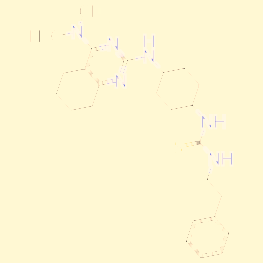 CN(C)c1nc(NC2CCC(NC(=S)NCCc3ccccc3)CC2)nc2c1CCCC2